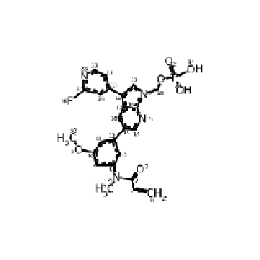 C=CC(=O)N(C)c1cc(OC)cc(-c2cnc3c(c2)c(-c2ccnc(F)c2)cn3COP(=O)(O)O)c1